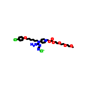 COCCOCCOCCOC(=O)OC[n+]1ccc(N(CCCCCCOc2ccc(Cl)cc2)C(N)=NC#N)cc1.[Cl-]